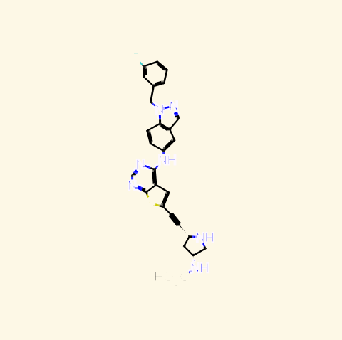 O=C(O)N[C@H]1CN[C@H](C#Cc2cc3c(Nc4ccc5c(cnn5Cc5cccc(F)c5)c4)ncnc3s2)C1